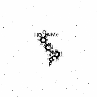 CNC(=O)c1cc(-c2ccc(NC[C@]3(c4ncccc4F)C[C@H](F)C3)nn2)ccc1O